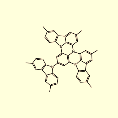 Cc1ccc2c(c1)-c1cc(C)cc3c1B2c1cc(-n2c4ccc(C)cc4c4cc(C)ccc42)cc2c1N3c1cc(C)cc3c1B2c1ccc(C)cc1-3